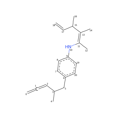 C=C=CC(C)Cc1ccc(N/C(C)=C(/C)C(C)C=C)cc1